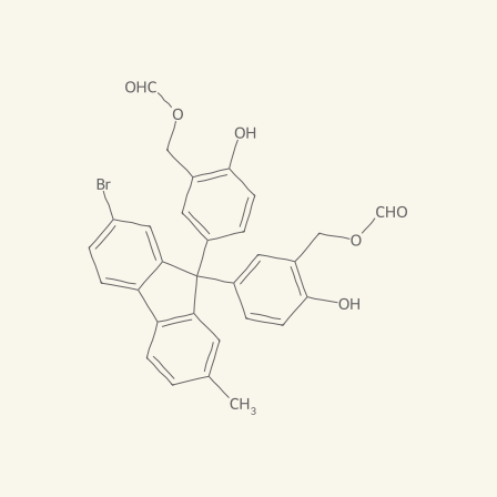 Cc1ccc2c(c1)C(c1ccc(O)c(COC=O)c1)(c1ccc(O)c(COC=O)c1)c1cc(Br)ccc1-2